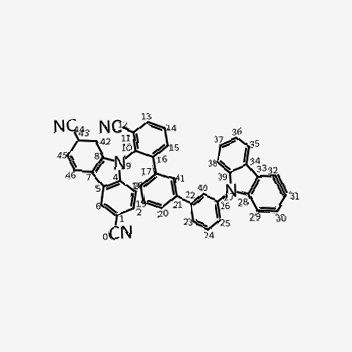 N#Cc1ccc2c(c1)c1c(n2-c2c(C#N)cccc2-c2cccc(-c3cccc(-n4c5ccc#cc5c5ccccc54)c3)c2)CC(C#N)C=C1